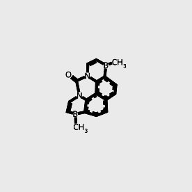 CB1C=CN2C(=O)N3C=CB(C)c4ccc5ccc1c2c5c43